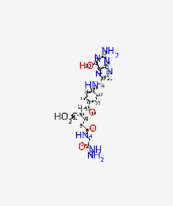 NNC(=O)CNC(=O)CCC(CC(=O)c1ccc(NCc2cnc3nc(N)nc(O)c3n2)cc1)C(=O)O